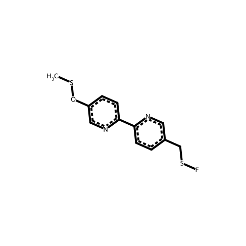 CSOc1ccc(-c2ccc(CSF)cn2)nc1